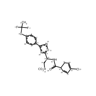 CC(F)(F)Oc1ccc(-c2noc([C@H](CC(=O)O)NC(=O)C3C=CC(Cl)=CC3)n2)cc1